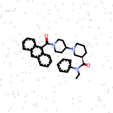 CCN(C(=O)[C@@H]1CCCN(C2CCN(C(=O)c3c4ccccc4cc4ccccc34)CC2)C1)c1ccccc1